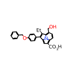 CCc1c(-c2ccc(OCc3ccccc3)cc2)c2cc(C(=O)O)c3ccc(CO)c1n32